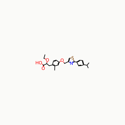 CCOC(Cc1ccc(OCc2csc(-c3ccc(C(C)C)cc3)n2)cc1C)C(=O)O